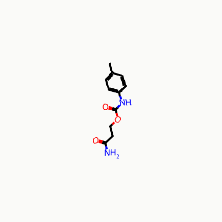 Cc1ccc(NC(=O)OCCC(N)=O)cc1